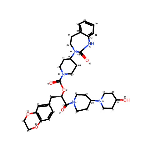 O=C(O[C@H](Cc1ccc2c(c1)OCCO2)C(=O)N1CCC(N2CCC(O)CC2)CC1)N1CCC(N2CCc3ccccc3NC2=O)CC1